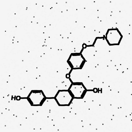 Oc1ccc(C2CCc3cc(O)cc(Oc4ccc(OCCN5CCCCC5)cc4)c3C2)cc1